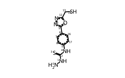 NNC(=S)Nc1ccc(-c2nnc(CS)o2)cc1